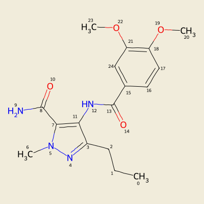 CCCc1nn(C)c(C(N)=O)c1NC(=O)c1ccc(OC)c(OC)c1